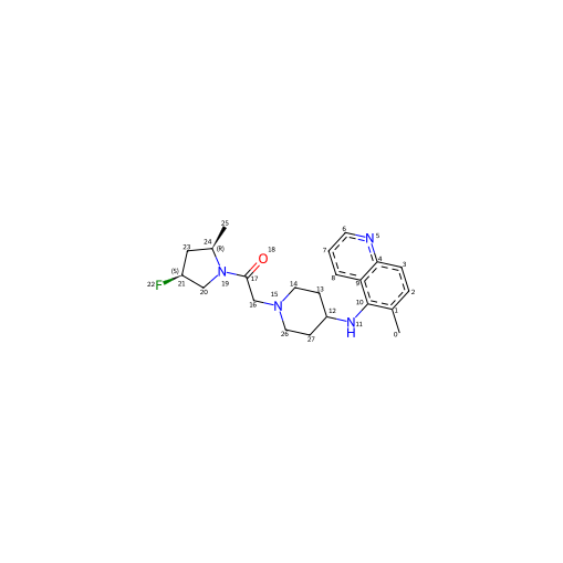 Cc1ccc2ncccc2c1NC1CCN(CC(=O)N2C[C@@H](F)C[C@H]2C)CC1